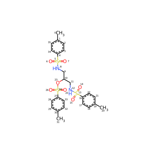 Cc1ccc(S(=O)(=O)NCC(CNS(=O)(=O)c2ccc(C)cc2)OS(=O)(=O)c2ccc(C)cc2)cc1